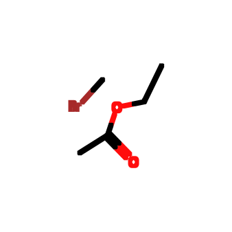 CBr.CCOC(C)=O